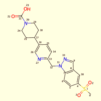 CS(=O)(=O)c1ccc2c(cnn2Cc2ccc(C3CCN(C(=O)O)CC3)cn2)c1